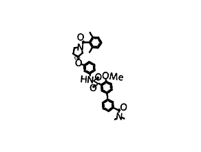 COc1ccc(-c2cccc(C(=O)N(C)C)c2)cc1S(=O)(=O)Nc1cccc(O[C@H]2CCN(C(=O)c3c(C)cccc3C)C2)c1